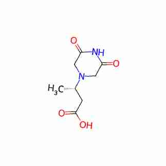 C[C@@H](CC(=O)O)N1CC(=O)NC(=O)C1